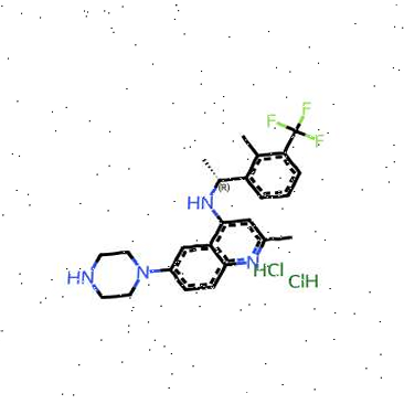 Cc1cc(N[C@H](C)c2cccc(C(F)(F)F)c2C)c2cc(N3CCNCC3)ccc2n1.Cl.Cl